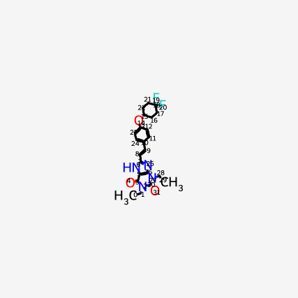 CCn1c(=O)c2[nH]c(/C=C/c3ccc(OC4CCC(F)(F)CC4)cc3)nc2n(CC)c1=O